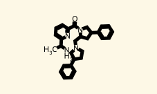 CC(N)c1cccc(C(=O)N2CC(c3ccccc3)CC2CN2CCC(c3ccccc3)C2)n1